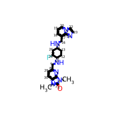 Cn1c(=O)n(C)c2nc(CN[C@H]3CC[C@H](NCc4cccn5ccnc45)C[C@@H]3F)ccc21